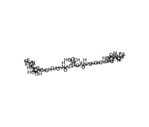 CCN(CC(=O)O)C(COCCC(=O)NCCOCCOCCOCCOC[C@H]1OC[C@H](Nc2cncc(C(F)(F)F)n2)[C@@H](O)[C@H]1O)COCCC(=O)NCCOCCOCCOCCOC[C@H]1OC[C@H](Nc2cncc(C(F)(F)F)n2)[C@@H](O)[C@H]1O